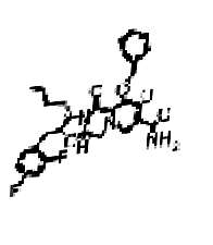 CCCC[C@H]1C(Cc2ccc(F)cc2F)O[C@@H]2Cn3cc(C(N)=O)c(=O)c(OCc4ccccc4)c3C(=O)N21